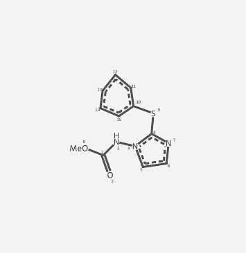 COC(=O)Nn1ccnc1Sc1ccccc1